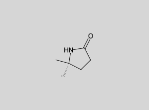 [CH2][C@@]1(C)CCC(=O)N1